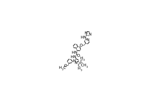 COCc1cccc(-n2nc(C(C)(C)C)cc2NC(=O)Nc2ccc(OCc3ccnc(Nc4cnccn4)c3)c3ccccc23)c1